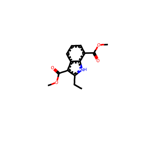 CCc1[nH]c2c(C(=O)OC)cccc2c1C(=O)OC